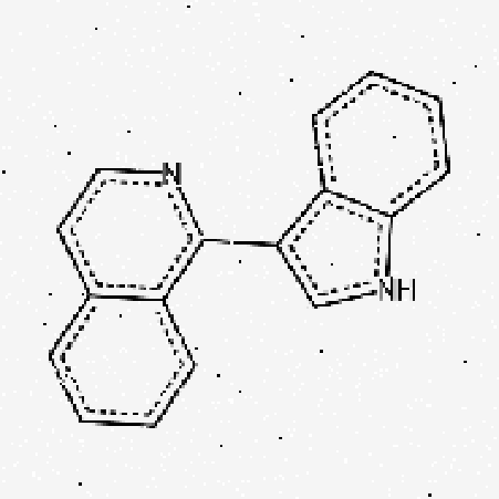 [c]1[nH]c2ccccc2c1-c1nccc2ccccc12